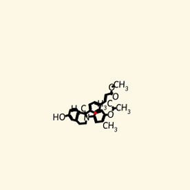 COC(=O)/C=C/c1ccc(C2(C)c3ccc(O)cc3CCN2c2ccc(OC(C)C)c(C)c2)cc1